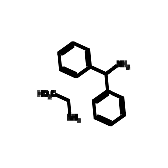 NC(c1ccccc1)c1ccccc1.NCC(=O)O